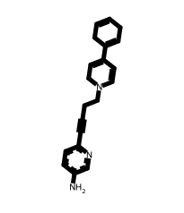 Nc1ccc(C#CCCN2C=CC(C3=CCC=CC3)=CC2)nc1